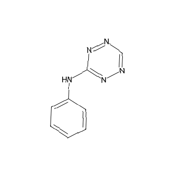 c1ccc(Nc2nncnn2)cc1